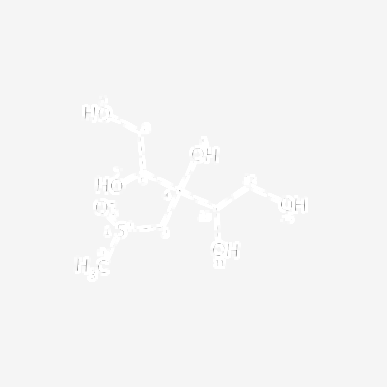 C[S+]([O-])CC(O)(C(O)CO)C(O)CO